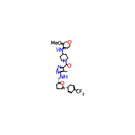 CO[C@H]1COCC[C@H]1NC1CCN(C(=O)c2ncnc(NC[C@H]3CCC[C@@H](C4C=CC(C(F)(F)F)=CC4)O3)c2C)CC1